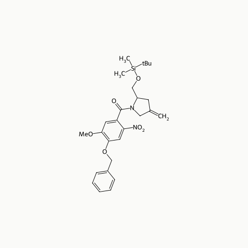 C=C1CC(CO[Si](C)(C)C(C)(C)C)N(C(=O)c2cc(OC)c(OCc3ccccc3)cc2[N+](=O)[O-])C1